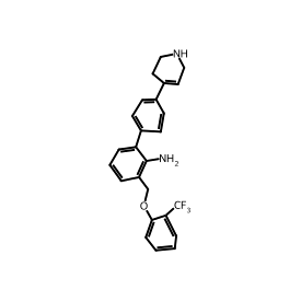 Nc1c(COc2ccccc2C(F)(F)F)cccc1-c1ccc(C2=CCNCC2)cc1